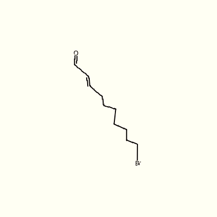 O=C/C=C/CCCCCCCBr